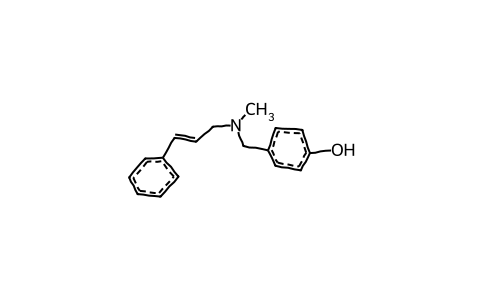 CN(CC=Cc1ccccc1)Cc1ccc(O)cc1